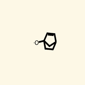 [O]C12C=CC(CC1)C2